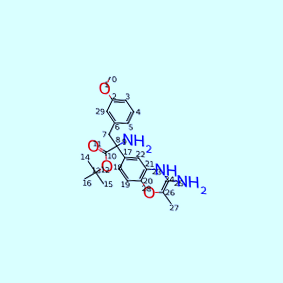 COc1cccc(CC(N)(C(=O)OC(C)(C)C)c2ccc3c(c2)NC(N)=C(C)O3)c1